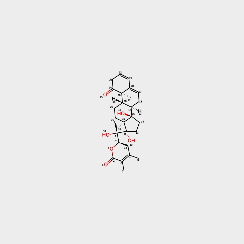 CC1=C(C)C(=O)O[C@@H]([C@](C)(O)[C@]2(O)CC[C@@]3(O)[C@@H]4CC=C5C=CCC(=O)[C@]5(C)[C@H]4CC[C@]23C)C1